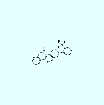 O=C1Cc2ccccc2-c2ccc3c(c21)CCC(c1ccccc1C(F)(F)F)C3